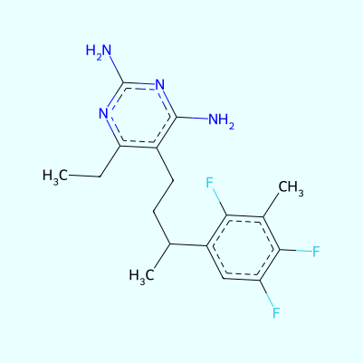 CCc1nc(N)nc(N)c1CCC(C)c1cc(F)c(F)c(C)c1F